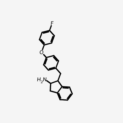 NC1Cc2ccccc2C1Cc1ccc(Oc2ccc(F)cc2)cc1